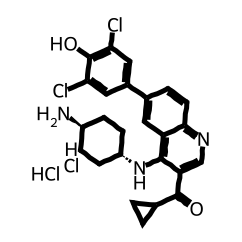 Cl.Cl.N[C@H]1CC[C@H](Nc2c(C(=O)C3CC3)cnc3ccc(-c4cc(Cl)c(O)c(Cl)c4)cc23)CC1